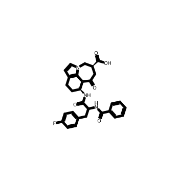 O=C(NC(Cc1ccc(F)cc1)C(=O)N[C@H]1CCc2ccn3c2C1C(=O)C[C@H](C(=O)O)C3)c1ccccc1